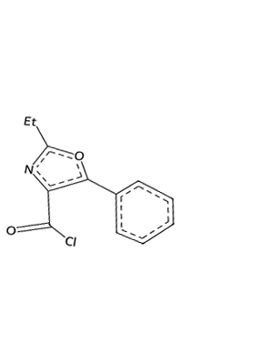 CCc1nc(C(=O)Cl)c(-c2ccccc2)o1